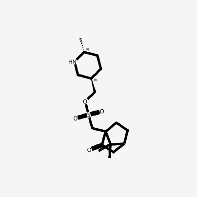 C[C@@H]1CC[C@@H](COS(=O)(=O)CC23CCC(CC2=O)C3(C)C)CN1